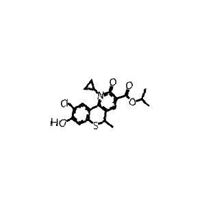 CC(C)OC(=O)c1cc2c(n(C3CC3)c1=O)-c1cc(Cl)c(O)cc1SC2C